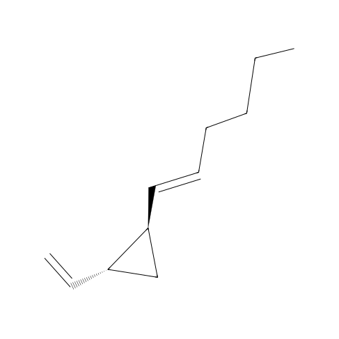 C=C[C@H]1C[C@@H]1/C=C/CCCC